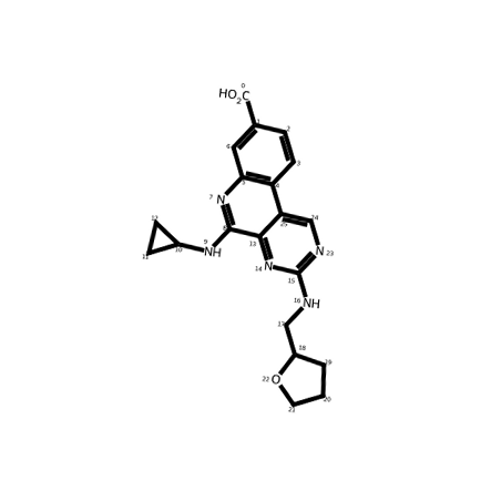 O=C(O)c1ccc2c(c1)nc(NC1CC1)c1nc(NCC3CCCO3)ncc12